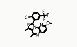 COc1ccc2nc(C)c3c(C)nc(-c4cc(C(F)(F)F)ccc4Cl)n3c2n1